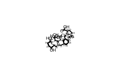 CN(C)C[C@H](CC(C)(C)C)N(Cc1cccc(CN2C(C(=O)O)CCS2(=O)=O)c1)Cc1cc(Cl)ccc1O